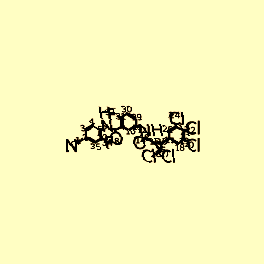 N#Cc1ccc(NC(=O)c2cc(NC(=O)C3C(c4cc(Cl)c(Cl)c(Cl)c4)C3(Cl)Cl)ccc2F)c(F)c1